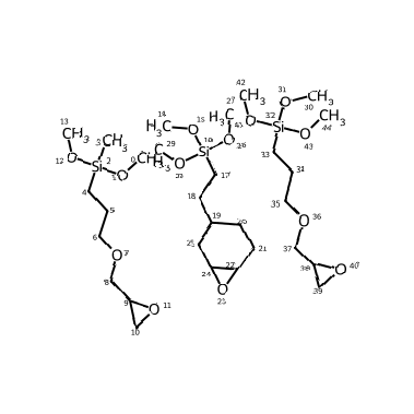 CO[Si](C)(CCCOCC1CO1)OC.CO[Si](CCC1CCC2OC2C1)(OC)OC.CO[Si](CCCOCC1CO1)(OC)OC